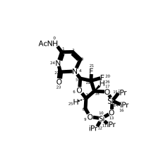 CC(=O)Nc1ccn(C2O[C@@H]3CO[Si](C(C)C)(C(C)C)O[Si](C(C)C)(C(C)C)O[C@H]3C2(F)F)c(=O)n1